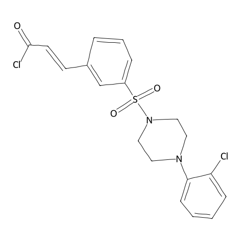 O=C(Cl)C=Cc1cccc(S(=O)(=O)N2CCN(c3ccccc3Cl)CC2)c1